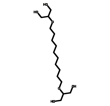 OCC(CO)OCCCCCCCCCCOC(CO)CO